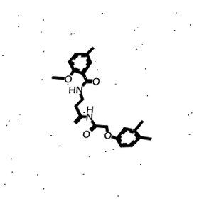 C=C(CCNC(=O)c1cc(C)ccc1OC)NC(=O)COc1ccc(C)c(C)c1